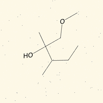 CCC(C)C(C)(O)COC